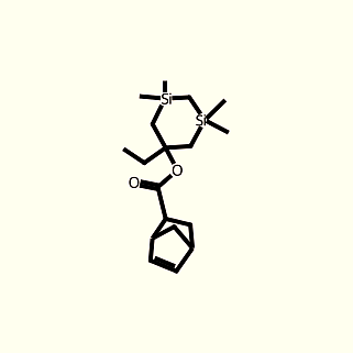 CCC1(OC(=O)C2CC3C=CC2C3)C[Si](C)(C)C[Si](C)(C)C1